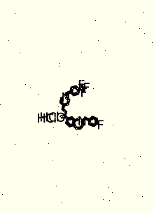 Cl.Cl.O=C(CCC1CCN(Cc2ccc(C(F)(F)F)cc2)CC1)c1ccc2c(c1)CN(Cc1ccc(F)cc1)CCC2